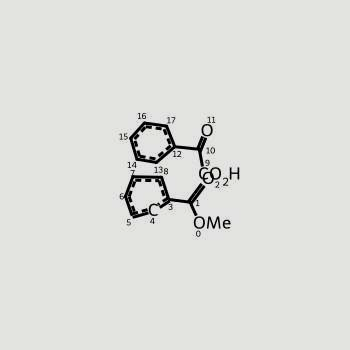 COC(=O)c1ccccc1.O=C(O)C(=O)c1ccccc1